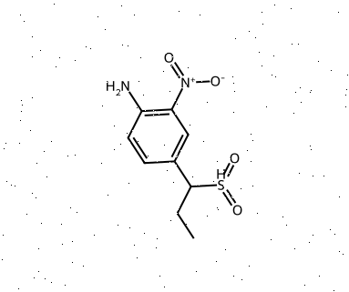 CCC(c1ccc(N)c([N+](=O)[O-])c1)[SH](=O)=O